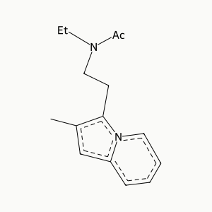 CCN(CCc1c(C)cc2ccccn12)C(C)=O